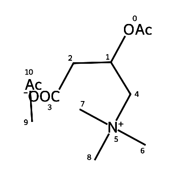 CC(=O)OC(CC(=O)[O-])C[N+](C)(C)C.CC(C)=O